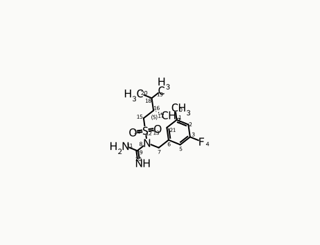 Cc1cc(F)cc(CN(C(=N)N)S(=O)(=O)C[C@@H](C)C(C)C)c1